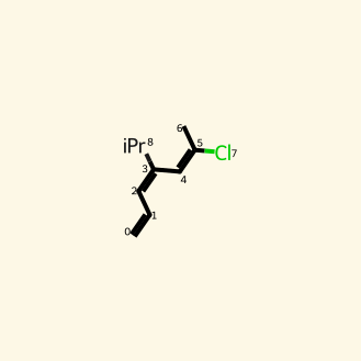 C=C/C=C(\C=C(/C)Cl)C(C)C